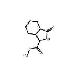 CC(C)(C)OC(=O)C1NC(=O)C2CCCCC21